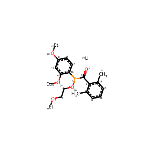 CCOCCOP(C(=O)c1c(C)cccc1C)c1ccc(OCC)cc1OCC.[Li]